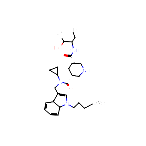 COCCCN1C=C(CN(C(=O)[C@H]2CNC[C@@H](C(=O)NC(CC(C)C)C(O)C(C)C)C2)C2CC2)C2C=CC=CC21